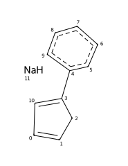 C1=CCC(c2ccccc2)=C1.[NaH]